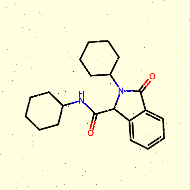 O=C(NC1CCCCC1)C1c2ccccc2C(=O)N1C1CCCCC1